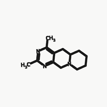 Cc1nc(C)c2c(n1)CN1CCCCC1C2